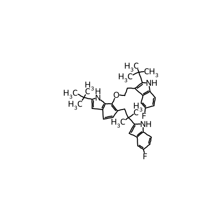 CC(C)(C)c1cc2ccc(CC(C)(C)c3cc4cc(F)ccc4[nH]3)c(OCCc3c(C(C)(C)C)[nH]c4ccc(F)cc34)c2[nH]1